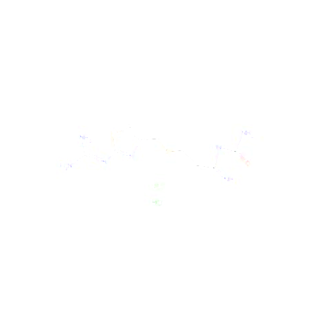 Cl.Cl.N=C(CCSCc1csc(N=C(N)N)n1)NC(N)=O